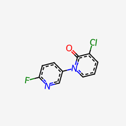 O=c1c(Cl)cccn1-c1ccc(F)nc1